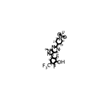 Cn1nc(-c2cc(C(F)(F)F)c(F)c(O)c2F)c2cnc(C3CCN(S(C)(=O)=O)CC3)nc21